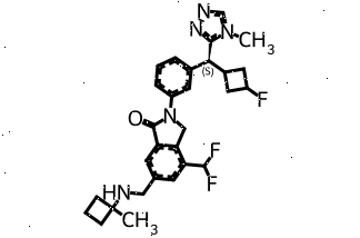 Cn1cnnc1[C@H](c1cccc(N2Cc3c(cc(CNC4(C)CCC4)cc3C(F)F)C2=O)c1)C1CC(F)C1